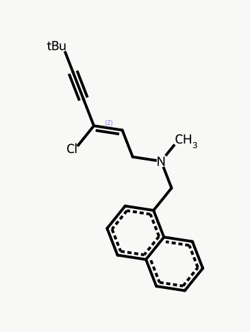 CN(C/C=C(\Cl)C#CC(C)(C)C)Cc1cccc2ccccc12